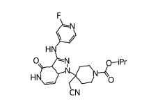 CC(C)OC(=O)N1CCC(CC#N)(N2N=C(Nc3ccnc(F)c3)C3C(=O)NC=CC32)CC1